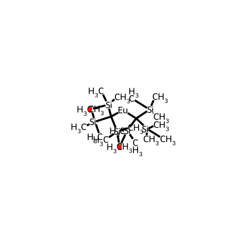 C[Si](C)(C)[C]([Eu][C]([Si](C)(C)C)([Si](C)(C)C)[Si](C)(C)C)([Si](C)(C)C)[Si](C)(C)C